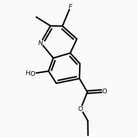 CCOC(=O)c1cc(O)c2nc(C)c(F)cc2c1